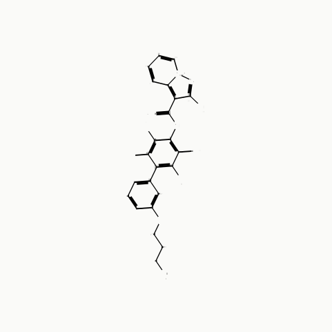 O=C(Nc1c(F)c(F)c(-c2cccc(OCCCO)c2)c(F)c1F)c1c(O)nn2ccccc12